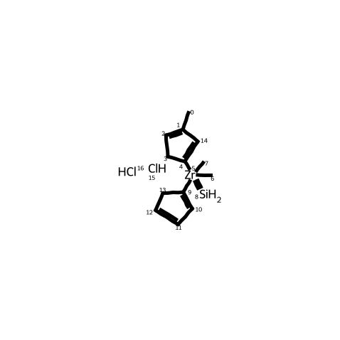 CC1=CC[C]([Zr]([CH3])([CH3])(=[SiH2])[C]2=CC=CC2)=C1.Cl.Cl